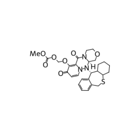 COC(=O)OCOc1c2n(ccc1=O)N([C@H]1c3ccccc3CSC3CCCCC31)[C@@H]1COCCN1C2=O